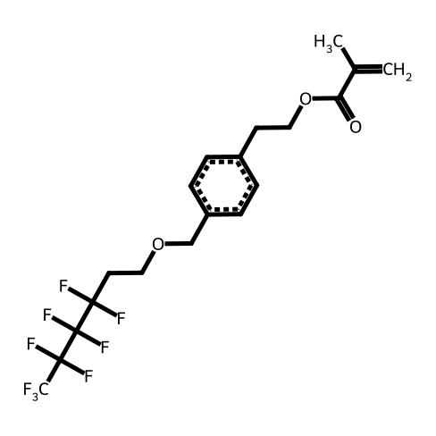 C=C(C)C(=O)OCCc1ccc(COCCC(F)(F)C(F)(F)C(F)(F)C(F)(F)F)cc1